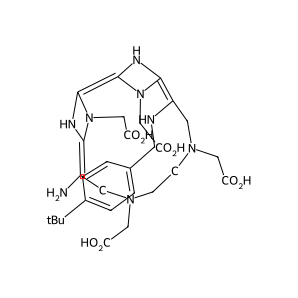 CC(C)(C)c1ccc(CN/C2=c3\[nH]/c(n3CC(=O)O)=c3\[nH]/c(n3CC(=O)O)=C(\N)CN(CC(=O)O)CCN(CC(=O)O)C2)cc1